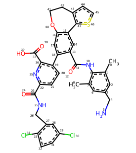 Cc1cc(CN)cc(C)c1NC(=O)c1cc2c(cc1-c1ccc(C(=O)NCc3cc(Cl)ccc3Cl)nc1C(=O)O)OCCc1ccsc1-2